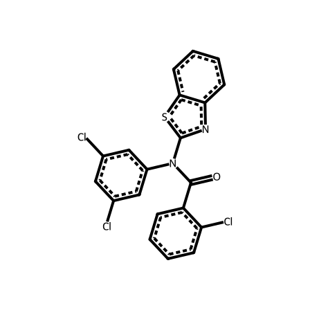 O=C(c1ccccc1Cl)N(c1cc(Cl)cc(Cl)c1)c1nc2ccccc2s1